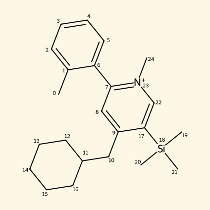 Cc1ccccc1-c1cc(CC2CCCCC2)c([Si](C)(C)C)c[n+]1C